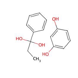 CCC(O)(O)c1ccccc1.Oc1cccc(O)c1